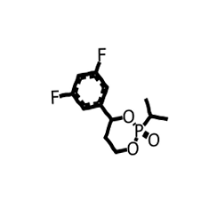 CC(C)P1(=O)OCCC(c2cc(F)cc(F)c2)O1